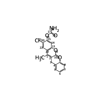 Cc1c(Cc2ccccc2)c(=O)oc2cc(OC(N)=O)c(Cl)cc12